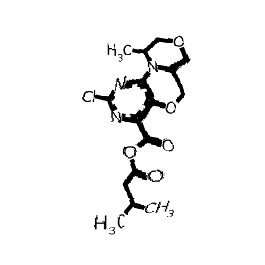 CC(C)CC(=O)OC(=O)c1nc(Cl)nc2c1OCC1COCC(C)N21